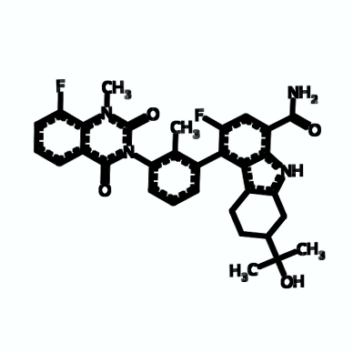 Cc1c(-c2c(F)cc(C(N)=O)c3[nH]c4c(c23)CCC(C(C)(C)O)C4)cccc1-n1c(=O)c2cccc(F)c2n(C)c1=O